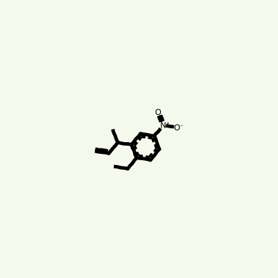 C=C[C](C)c1cc([N+](=O)[O-])ccc1CC